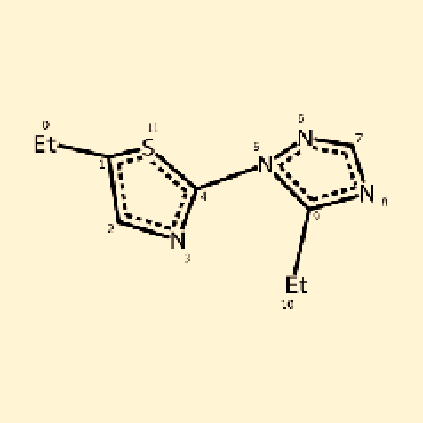 CCc1cnc(-n2ncnc2CC)s1